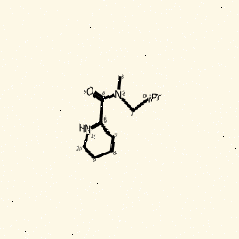 CC(C)CN(C)C(=O)C1CCCCN1